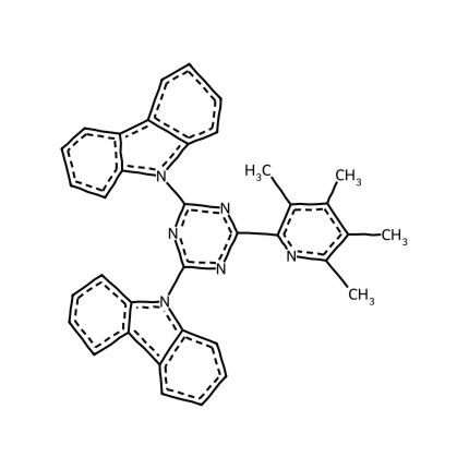 Cc1nc(-c2nc(-n3c4ccccc4c4ccccc43)nc(-n3c4ccccc4c4ccccc43)n2)c(C)c(C)c1C